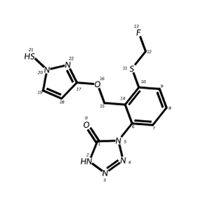 O=c1[nH]nnn1-c1cccc(SCF)c1COc1ccn(S)n1